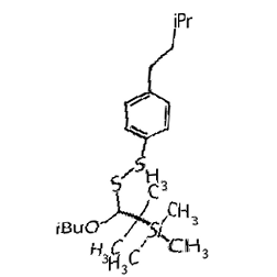 CC(C)CCc1ccc(SSC(OCC(C)C)C(C)(C)[Si](C)(C)C)cc1